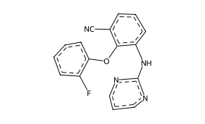 N#Cc1cccc(Nc2ncccn2)c1Oc1ccccc1F